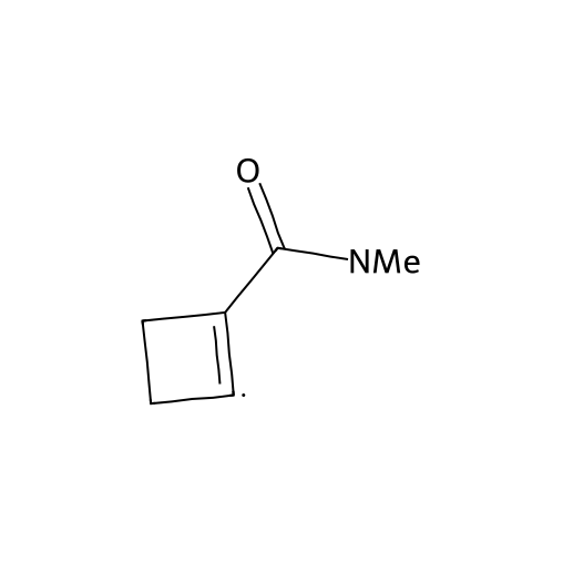 CNC(=O)C1=[C]CC1